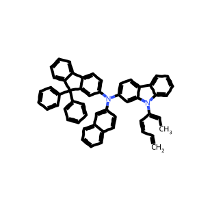 C=C/C=C\C(=C/C)n1c2ccccc2c2ccc(N(c3ccc4c(c3)C(c3ccccc3)(c3ccccc3)c3ccccc3-4)c3ccc4ccccc4c3)cc21